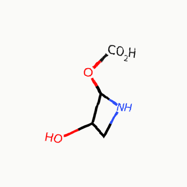 O=C(O)OC1NCC1O